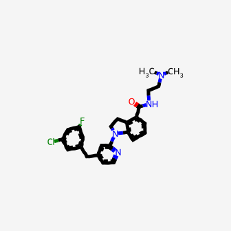 CN(C)CCNC(=O)c1cccc2c1CCN2c1cc(Cc2cc(F)cc(Cl)c2)ccn1